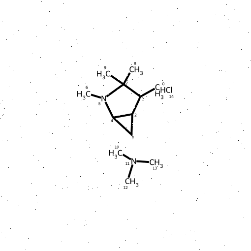 CC1C2CC2N(C)C1(C)C.CN(C)C.Cl